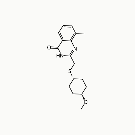 CO[C@H]1CC[C@H](SCc2nc3c(C)cccc3c(=O)[nH]2)CC1